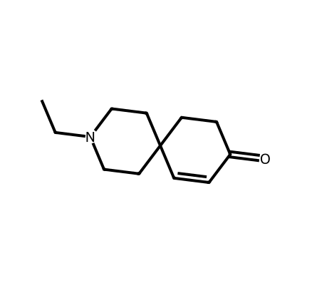 CCN1CCC2(C=CC(=O)CC2)CC1